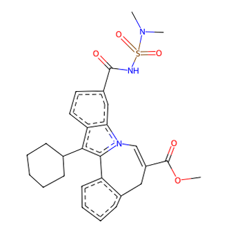 COC(=O)C1=Cn2c(c(C3CCCCC3)c3ccc(C(=O)NS(=O)(=O)N(C)C)cc32)-c2ccccc2C1